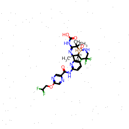 CC1(C)C(NC(=O)O)=N[C@](C)(c2nc(NC(=O)c3cnc(OCC(F)F)cn3)ccc2F)[C@H]2CC(F)(F)CN[SH]21=O